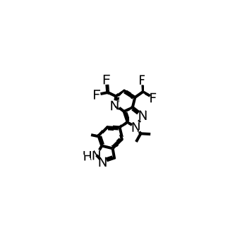 Cc1cc(-c2c3nc(C(F)F)cc(C(F)F)c3nn2C(C)C)cc2cn[nH]c12